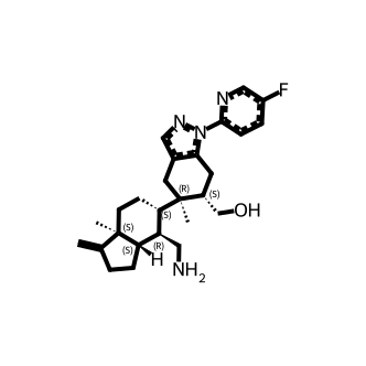 C=C1CC[C@H]2[C@H](CN)[C@@H]([C@@]3(C)Cc4cnn(-c5ccc(F)cn5)c4C[C@@H]3CO)CC[C@]12C